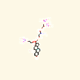 C[C@]12C=CC(=O)C=C1CCC1C3CC[C@](OC(=O)CCCON(O)O)(C(=O)COC(=O)CC(N)C(=O)OCC(CON(O)O)ON(O)O)[C@@]3(C)C[C@H](O)[C@@]12F